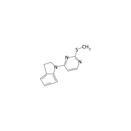 CSc1nccc(N2CCc3ccccc32)n1